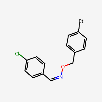 CCc1ccc(CO/N=[C]\c2ccc(Cl)cc2)cc1